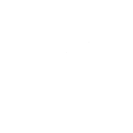 OCCSc1ccccc1-c1ccccc1SCCO